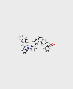 CC1(C)c2ccccc2-c2cc3c4ccccc4n(-c4cccc(-c5ccc6ccc7ccc(-c8ccccc8CO)nc7c6n5)c4)c3cc21